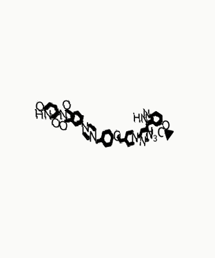 CC1(Oc2ccc3n[nH]c(-c4cc(N5CCC(COC6CCC(CN7CCN(c8ccc9c(c8)C(=O)N(C8CCC(=O)NC8=O)C9=O)CC7)CC6)CC5)ncn4)c3c2)CC1